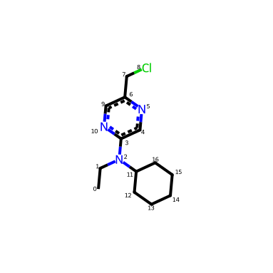 CCN(c1cnc(CCl)cn1)C1CCCCC1